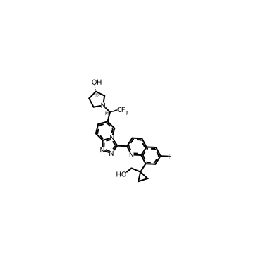 OCC1(c2cc(F)cc3ccc(-c4nnc5ccc([C@@H](N6CC[C@H](O)C6)C(F)(F)F)cn45)nc23)CC1